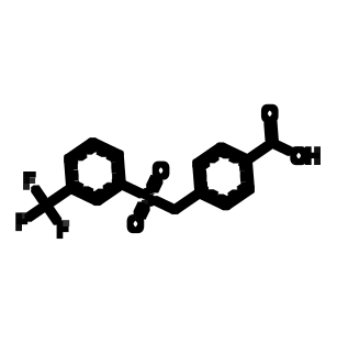 O=C(O)c1ccc(CS(=O)(=O)c2cccc(C(F)(F)F)c2)cc1